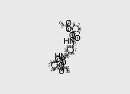 C=CC(=O)OC1CCCCC1OC(=O)NCC1CCC(CNC(=O)OC2CCCCC2OC(=O)C=C)CC1